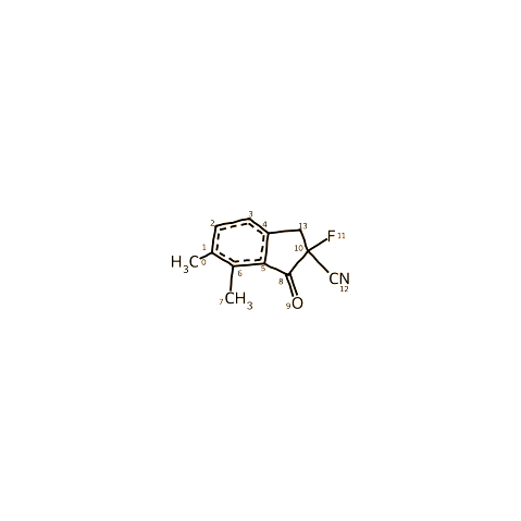 Cc1ccc2c(c1C)C(=O)C(F)(C#N)C2